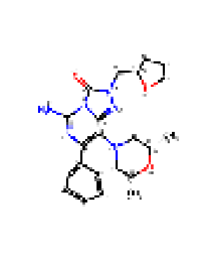 C[C@@H]1CN(c2c(-c3ccccc3)nc(N)n3c(=O)n(C[C@H]4CCCO4)nc23)C[C@H](C)O1